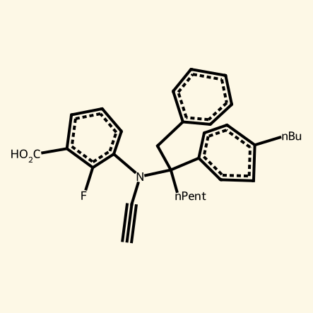 C#CN(c1cccc(C(=O)O)c1F)C(CCCCC)(Cc1ccccc1)c1ccc(CCCC)cc1